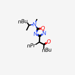 CCCCC(=O)C(CCC)c1noc(N(C)C(C)CCCC)n1